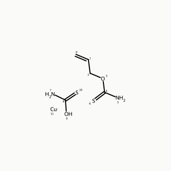 C=CCOC(N)=S.NC(O)=S.[Cu]